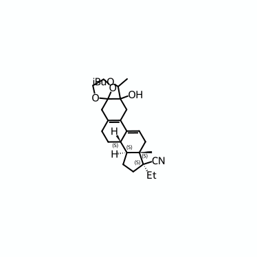 CC[C@]1(C#N)CC[C@H]2[C@@H]3CCC4=C(CC(O)(C(C)OCC(C)C)C5(C4)OCCO5)C3=CC[C@@]21C